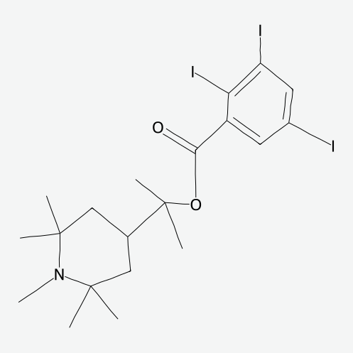 CN1C(C)(C)CC(C(C)(C)OC(=O)c2cc(I)cc(I)c2I)CC1(C)C